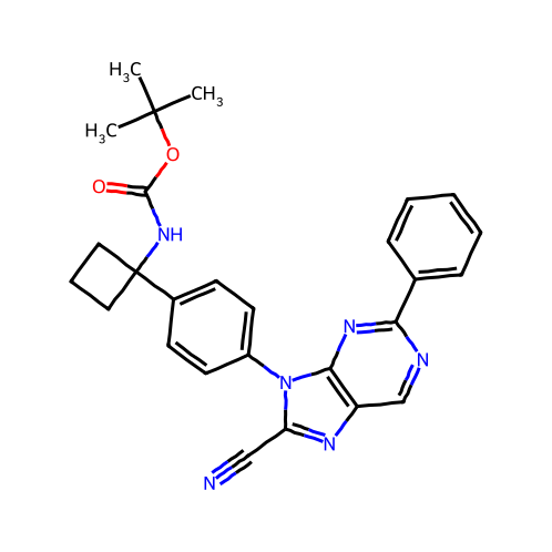 CC(C)(C)OC(=O)NC1(c2ccc(-n3c(C#N)nc4cnc(-c5ccccc5)nc43)cc2)CCC1